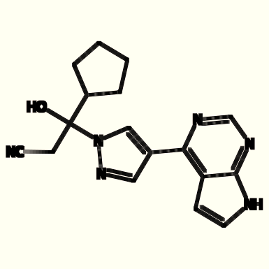 N#CCC(O)(C1CCCC1)n1cc(-c2ncnc3[nH]ccc23)cn1